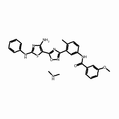 CNC.COc1cccc(C(=O)Nc2ccc(C)c(-c3noc(-c4sc(Nc5ccccc5)nc4N)n3)c2)c1